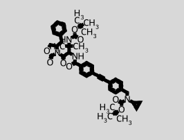 CC(C)(C)OC(=O)NC(C)(C)C(NC(=O)c1ccc(C#Cc2ccc(CN(C(=O)OC(C)(C)C)C3CC3)cc2)cc1)C(=O)N1C(=O)OCC1Cc1ccccc1